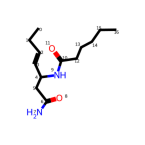 CC/C=C/C(CC(N)=O)NC(=O)CCCCC